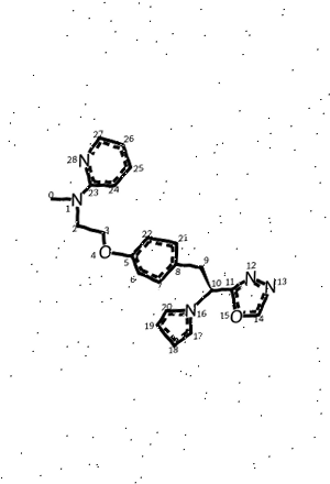 CN(CCOc1ccc(C[C@@H](c2nnco2)n2cccc2)cc1)c1ccccn1